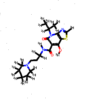 [2H]Oc1c(C(=O)N([2H])C([2H])([2H])CCN2C([2H])([2H])C([2H])([2H])C([2H])([2H])C([2H])([2H])C2([2H])[2H])c(=O)n(C([2H])(C([2H])([2H])[2H])C([2H])([2H])[2H])c2nc([2H])sc12